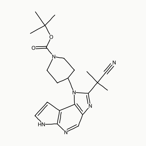 CC(C)(C)OC(=O)N1CCC(n2c(C(C)(C)C#N)nc3cnc4[nH]ccc4c32)CC1